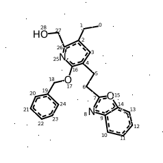 CCc1cc(CCc2nc3ccccc3o2)c(OCc2ccccc2)nc1CO